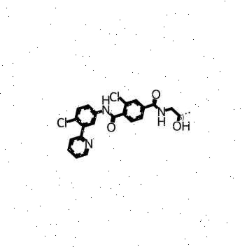 C[C@H](O)CNC(=O)c1ccc(C(=O)Nc2ccc(Cl)c(-c3ccccn3)c2)c(Cl)c1